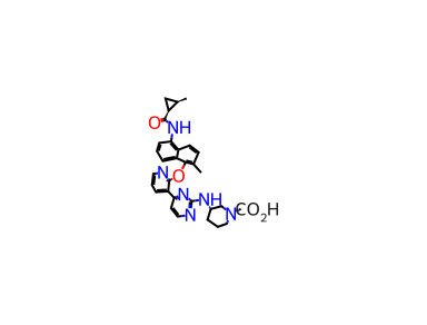 Cc1ccc2c(NC(=O)[C@H]3C[C@H]3C)cccc2c1Oc1ncccc1-c1ccnc(N[C@H]2CCCN(C(=O)O)C2)n1